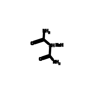 NC(=O)NC(N)=O.[NaH]